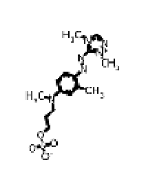 Cc1cc(N(C)CCCOS(=O)(=O)[O-])ccc1N=Nc1n(C)cn[n+]1C